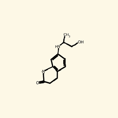 CC(CO)Nc1ccc2c(c1)[N]C(=O)CC2